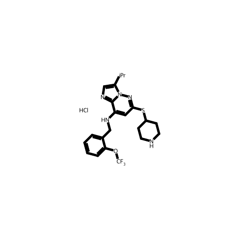 CC(C)c1cnc2c(NCc3ccccc3OC(F)(F)F)cc(SC3CCNCC3)nn12.Cl